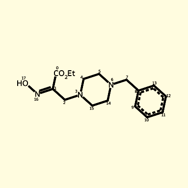 CCOC(=O)/C(CN1CCN(Cc2ccccc2)CC1)=N\O